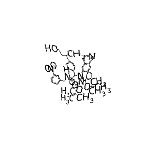 CC(CCO)c1ccc(C(C(=O)NCc2cccc([N+](=O)[O-])c2)N(c2ccc3cnccc3c2)N(C(=O)OC(C)(C)C)C(=O)OC(C)(C)C)cc1